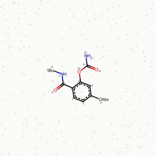 COc1ccc(C(=O)NC(C)(C)C)c(OC(N)=O)c1